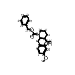 COc1ccc(CC2C(C(C)O)CCCN2C(=O)OCc2ccccc2)cc1